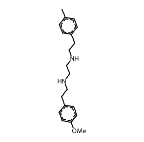 COc1ccc(CCNCCNCCc2ccc(C)cc2)cc1